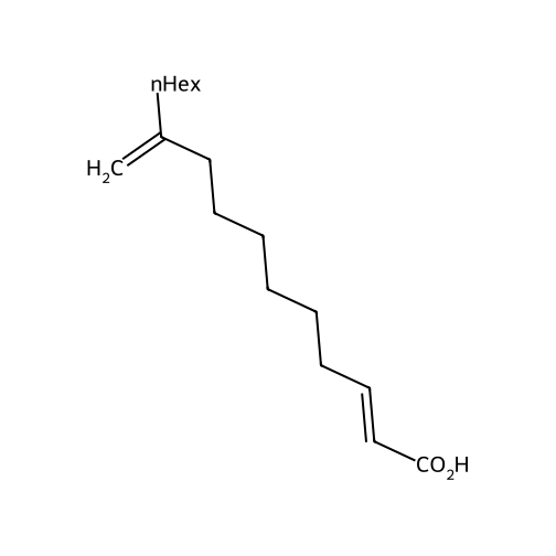 C=C(CCCCCC)CCCCCCC=CC(=O)O